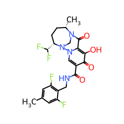 Cc1cc(F)c(CNC(=O)c2cn3c(c(O)c2=O)C(=O)N2CN3[C@H](C(F)F)CC[C@@H]2C)c(F)c1